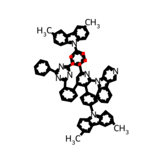 Cc1ccc2c(c1)c1cc(C)ccc1n2-c1ccc(-c2cc(-c3ccccc3-c3nc(-c4ccccc4)nc(-c4ccccc4)n3)c(-c3ccc(-n4c5ccc(C)cc5c5cc(C)ccc54)cc3)c(-n3c4ccccc4c4cnccc43)n2)cc1